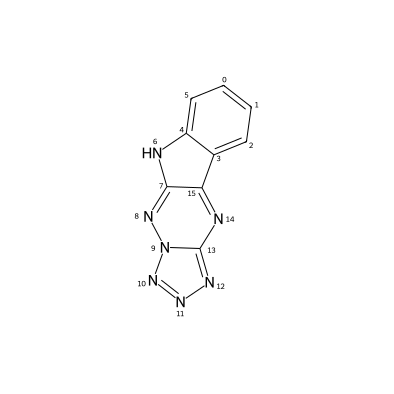 c1ccc2c(c1)[nH]c1nn3nnnc3nc12